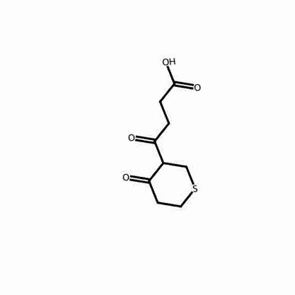 O=C(O)CCC(=O)C1CSCCC1=O